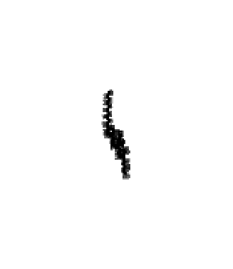 CCCCCCCCCCc1ccc(-c2cnc(-c3ccc(CCCCC)cc3)nc2F)cc1